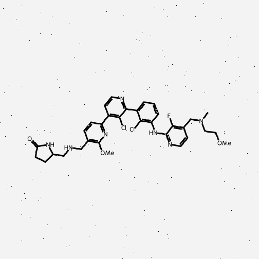 COCCN(C)Cc1ccnc(Nc2cccc(-c3nccc(-c4ccc(CNCC5CCC(=O)N5)c(OC)n4)c3Cl)c2Cl)c1F